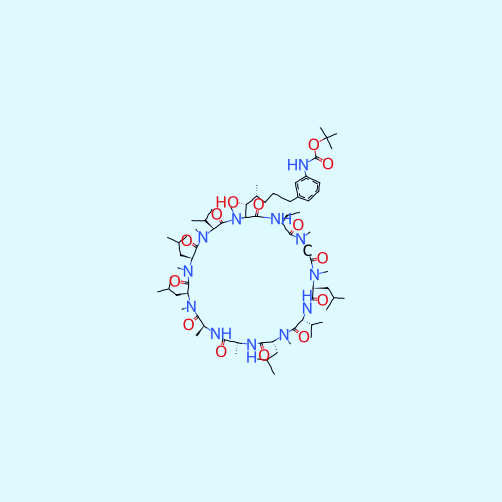 CC[C@@H]1NC(=O)[C@H]([C@H](O)[C@H](C)CCCc2cccc(NC(=O)OC(C)(C)C)c2)N(C)C(=O)[C@H](C(C)C)N(C)C(=O)[C@H](CC(C)C)N(C)C(=O)[C@H](CC(C)C)N(C)C(=O)[C@H](C)NC(=O)[C@@H](C)NC(=O)[C@@H](CC(C)C)N(C)C(=O)[C@@H](C(C)C)NC(=O)[C@H](CC(C)C)N(C)C(=O)CN(C)C1=O